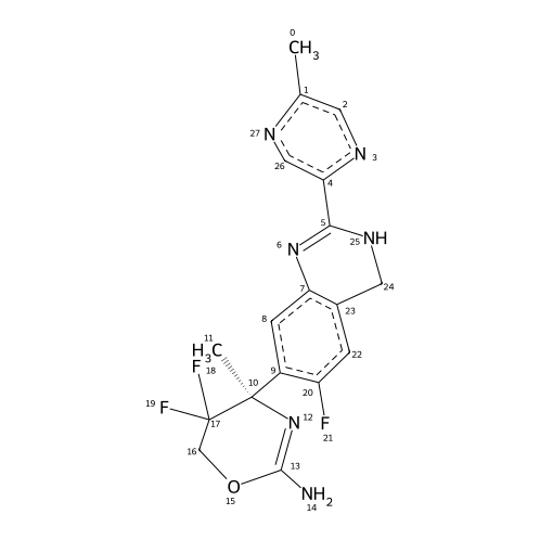 Cc1cnc(C2=Nc3cc([C@@]4(C)N=C(N)OCC4(F)F)c(F)cc3CN2)cn1